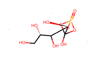 O=P12OC(O)(O1)[C@](O)(C(O)[C@@H](O)CO)O2